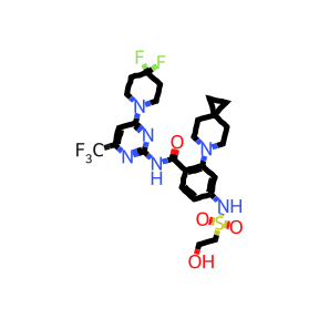 O=C(Nc1nc(N2CCC(F)(F)CC2)cc(C(F)(F)F)n1)c1ccc(NS(=O)(=O)CCO)cc1N1CCC2(CC1)CC2